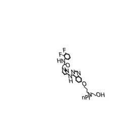 CCCN(CCO)CCCOc1ccc2c(Nc3ccn(CC(=O)Nc4cccc(F)c4F)n3)ncnc2c1